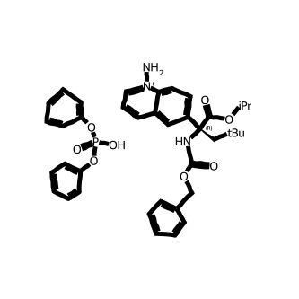 CC(C)OC(=O)[C@](CC(C)(C)C)(NC(=O)OCc1ccccc1)c1ccc2c(ccc[n+]2N)c1.O=P(O)(Oc1ccccc1)Oc1ccccc1